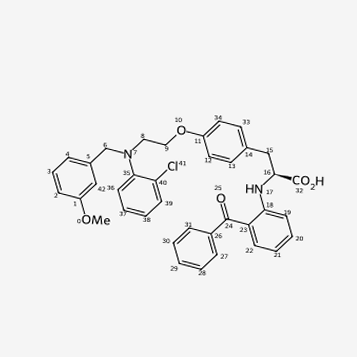 COc1cccc(CN(CCOc2ccc(C[C@H](Nc3ccccc3C(=O)c3ccccc3)C(=O)O)cc2)c2ccccc2Cl)c1